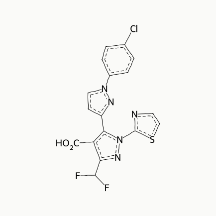 O=C(O)c1c(C(F)F)nn(-c2nccs2)c1-c1ccn(-c2ccc(Cl)cc2)n1